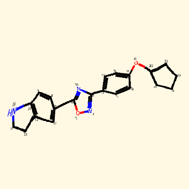 c1cc(-c2noc(-c3ccc4c(c3)CCN4)n2)ccc1OC1CCCC1